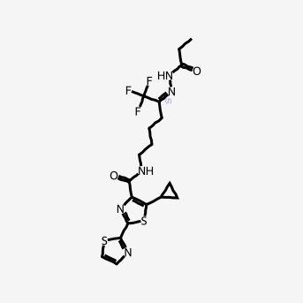 CCC(=O)N/N=C(/CCCCNC(=O)c1nc(-c2nccs2)sc1C1CC1)C(F)(F)F